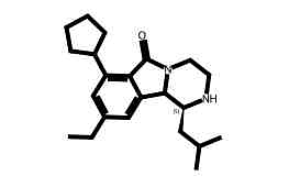 CCc1cc(C2CCCC2)c2c(c1)C1[C@H](CC(C)C)NCCN1C2=O